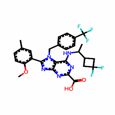 COc1ccc(C)cc1-c1nc2nc(C(=O)O)nc(NC(C)C3CC(F)(F)C3)c2n1Cc1ccc(C(F)(F)F)cc1